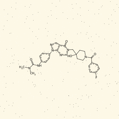 CN(C)C(=O)Nc1ccc(-n2ncc3c(=O)n(CC4(O)CCN(C(=O)c5ccc(F)cc5)CC4)cnc32)cc1